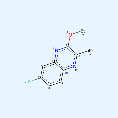 CCOc1nc2cc(F)ccc2nc1C(C)C